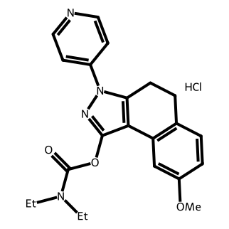 CCN(CC)C(=O)Oc1nn(-c2ccncc2)c2c1-c1cc(OC)ccc1CC2.Cl